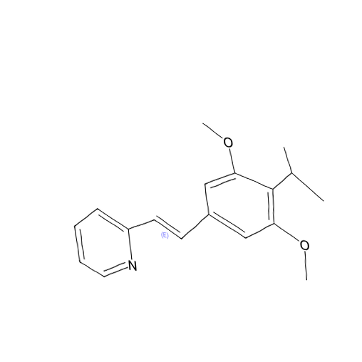 COc1cc(/C=C/c2ccccn2)cc(OC)c1C(C)C